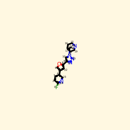 Fc1ccc(-c2coc(-c3cn(C4CN5CCC4CC5)nn3)c2)cn1